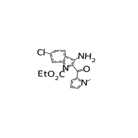 CCOC(=O)n1c(C(=O)c2cccn2C)c(N)c2ccc(Cl)cc21